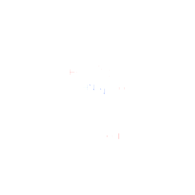 CCOC(=O)N(NC(=O)O)c1ccc(O)cc1